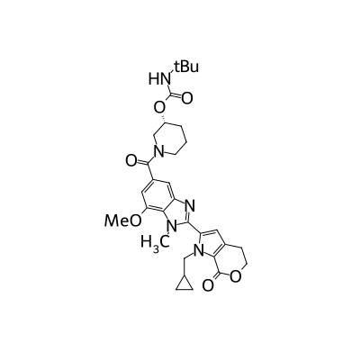 COc1cc(C(=O)N2CCC[C@@H](OC(=O)NC(C)(C)C)C2)cc2nc(-c3cc4c(n3CC3CC3)C(=O)OCC4)n(C)c12